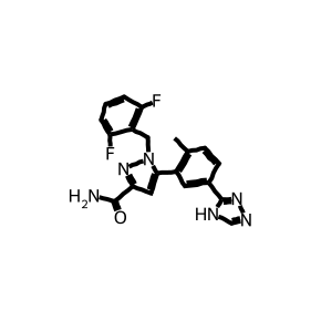 Cc1ccc(-c2nnc[nH]2)cc1-c1cc(C(N)=O)nn1Cc1c(F)cccc1F